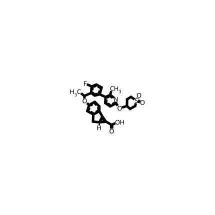 Cc1nc(OC2CCS(=O)(=O)CC2)ccc1-c1ccc(F)c(C(C)Oc2ccc3c(c2)C[C@H]2C(C(=O)O)=C32)c1